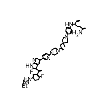 C=CC(CCC(=C)N)Nc1ccc(N2CCC(C)(CC(=C)N3CCN(c4ccc(-c5cnc6[nH]cc(C(=C)C7=C(F)CCC(NSN(C)CC)=C7F)c6c5)cn4)CC3)CC2)cc1